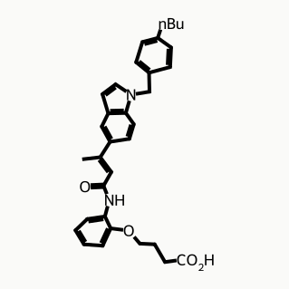 CCCCc1ccc(Cn2ccc3cc(/C(C)=C/C(=O)Nc4ccccc4OCCCC(=O)O)ccc32)cc1